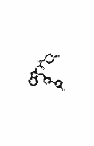 CC(C)N1CCN(NC(=O)Oc2cc3ccccc3n2Cc2cc(-c3ccc(Cl)s3)on2)CC1